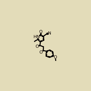 COc1ccc(C(=O)CC(=O)c2cc(C#N)c(=O)[nH]c2C)cc1